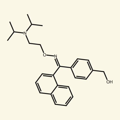 CC(C)N(CCO/N=C(/c1ccc(CO)cc1)c1cccc2ccccc12)C(C)C